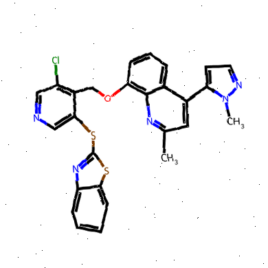 Cc1cc(-c2ccnn2C)c2cccc(OCc3c(Cl)cncc3Sc3nc4ccccc4s3)c2n1